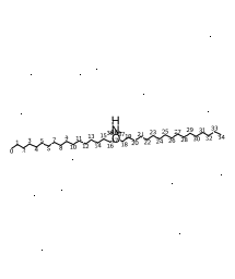 CCCCCCCCCCCCCCCCCOCCCCCCCCCCCCCCCCC.CNC